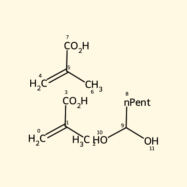 C=C(C)C(=O)O.C=C(C)C(=O)O.CCCCCC(O)O